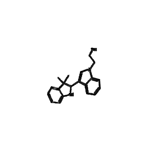 CC1(C)c2ccccc2NC1c1cn(CCO)c2ccccc12